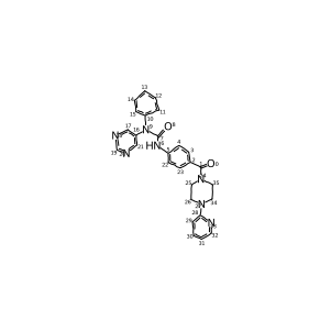 O=C(c1ccc(NC(=O)N(c2ccccc2)c2cncnc2)cc1)N1CCN(c2ccccn2)CC1